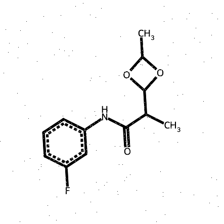 CC1OC(C(C)C(=O)Nc2cccc(F)c2)O1